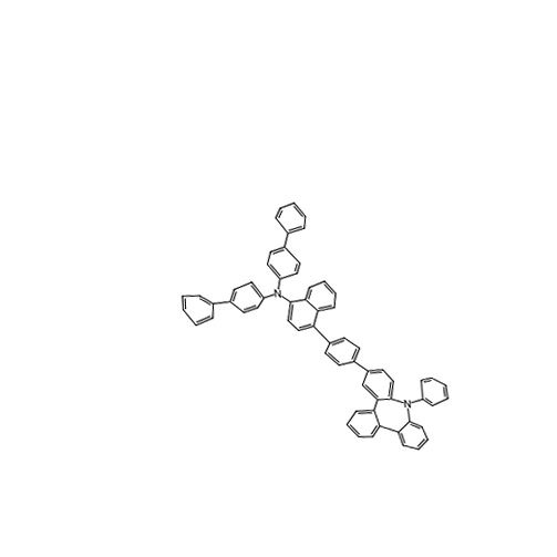 c1ccc(-c2ccc(N(c3ccc(-c4ccccc4)cc3)c3ccc(-c4ccc(-c5ccc6c(c5)-c5ccccc5-c5ccccc5N6c5ccccc5)cc4)c4ccccc34)cc2)cc1